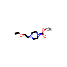 C=COCCN1CCN(C(=O)OC(C)(C)C)CC1